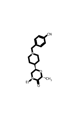 CCN1C[C@@H](C2CCN(Cc3ccc(C#N)cc3)CC2)O[C@H](C)C1=O